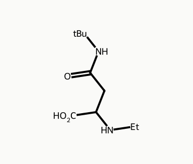 CCNC(CC(=O)NC(C)(C)C)C(=O)O